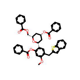 COc1cc(OC(=O)c2ccccc2)c([C@H]2C[C@@H](OC(=O)c3ccccc3)C[C@@H](COC(=O)c3ccccc3)O2)cc1Cc1cc2ccccc2s1